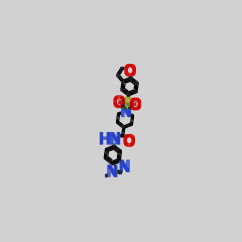 Cn1cnc2cc(NC(=O)C3CCN(S(=O)(=O)c4ccc5c(c4)CCO5)CC3)ccc21